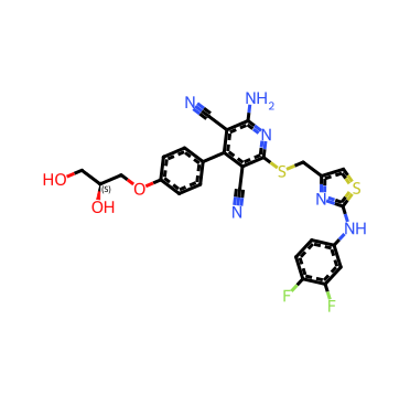 N#Cc1c(N)nc(SCc2csc(Nc3ccc(F)c(F)c3)n2)c(C#N)c1-c1ccc(OC[C@@H](O)CO)cc1